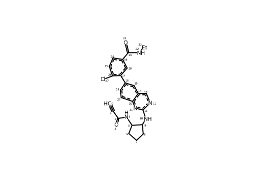 C#CC(=O)NC1CCCC1Nc1ncc2cc(-c3cc(C(=O)NCC)ccc3Cl)ccc2n1